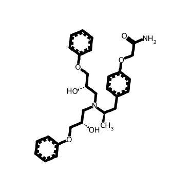 C[C@H](Cc1ccc(OCC(N)=O)cc1)N(C[C@H](O)COc1ccccc1)C[C@H](O)COc1ccccc1